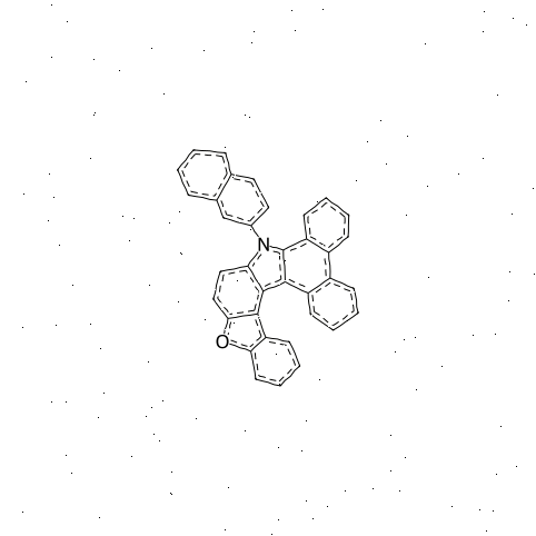 c1ccc2cc(-n3c4ccc5oc6ccccc6c5c4c4c5ccccc5c5ccccc5c43)ccc2c1